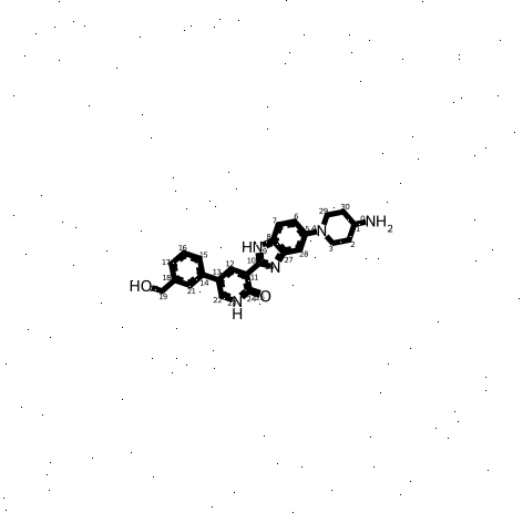 NC1CCN(c2ccc3[nH]c(-c4cc(-c5cccc(CO)c5)c[nH]c4=O)nc3c2)CC1